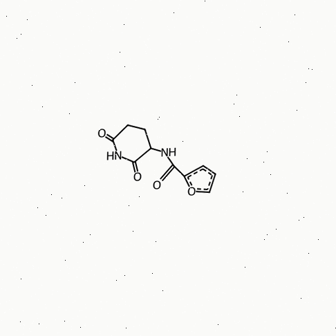 O=C1CCC(NC(=O)c2ccco2)C(=O)N1